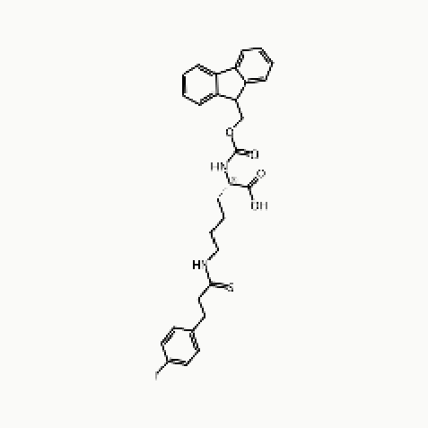 O=C(N[C@@H](CCCCNC(=S)CCc1ccc(I)cc1)C(=O)O)OCC1c2ccccc2-c2ccccc21